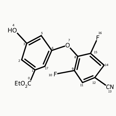 CCOC(=O)c1cc(O)cc(Oc2c(F)cc(C#N)cc2F)c1